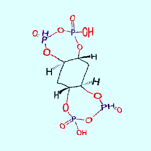 O=[PH]1O[C@@H]2C[C@H]3OP(=O)(O)O[PH](=O)O[C@@H]3C[C@H]2OP(=O)(O)O1